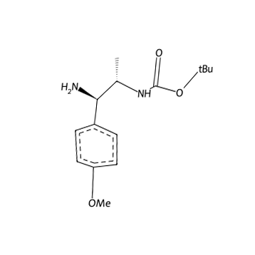 COc1ccc([C@@H](N)[C@H](C)NC(=O)OC(C)(C)C)cc1